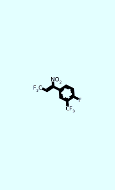 O=[N+]([O-])C(=CC(F)(F)F)c1ccc(F)c(C(F)(F)F)c1